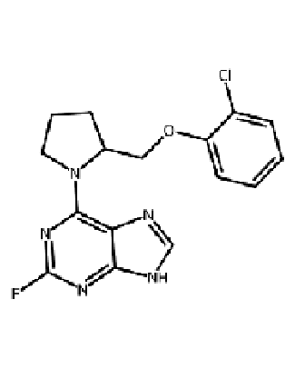 Fc1nc(N2CCCC2COc2ccccc2Cl)c2nc[nH]c2n1